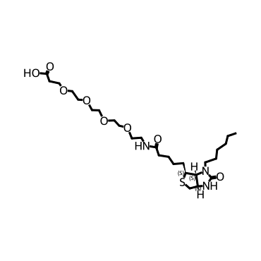 CCCCCCN1C(=O)N[C@H]2CS[C@@H](CCCCC(=O)NCCOCCOCCOCCOCCC(=O)O)[C@H]21